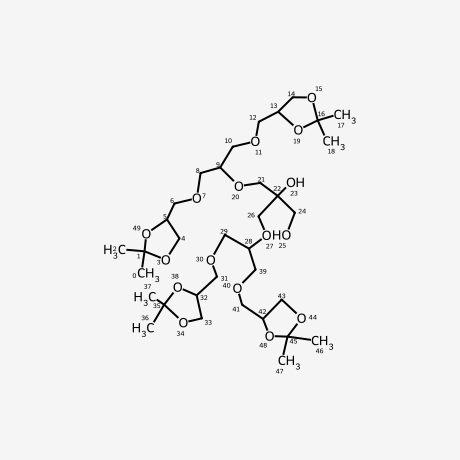 CC1(C)OCC(COCC(COCC2COC(C)(C)O2)OCC(O)(CO)COC(COCC2COC(C)(C)O2)COCC2COC(C)(C)O2)O1